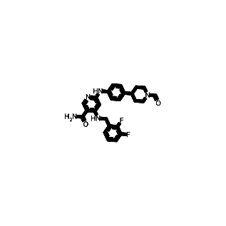 NC(=O)c1cnc(Nc2ccc(C3CCN(C=O)CC3)cc2)cc1NCc1cccc(F)c1F